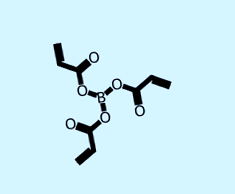 C=CC(=O)OB(OC(=O)C=C)OC(=O)C=C